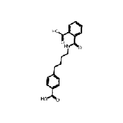 O=C(O)c1ccc(CCCCNC(=O)c2ccccc2C(=O)O)cc1